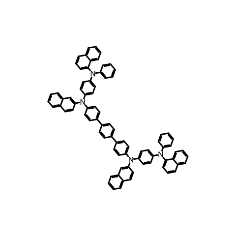 c1ccc(N(c2ccc(N(c3ccc(-c4ccc(-c5ccc(N(c6ccc(N(c7ccccc7)c7cccc8ccccc78)cc6)c6ccc7ccccc7c6)cc5)cc4)cc3)c3ccc4ccccc4c3)cc2)c2cccc3ccccc23)cc1